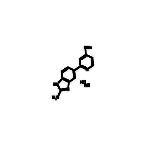 COc1ccnc(-c2ccc3[nH]c(N)nc3c2)c1.Cl.Cl